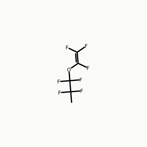 CC(F)(F)C(F)(F)OC(F)=C(F)F